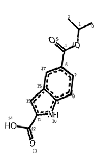 CC(C)OC(=O)c1ccc2[nH]c(C(=O)O)cc2c1